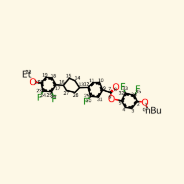 CCCCOc1ccc(OC(=O)c2ccc(C3CCC(c4ccc(OCC)c(F)c4F)CC3)c(F)c2)c(F)c1F